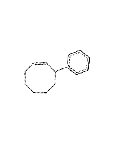 C1=CC(c2ccccc2)CCCCC1